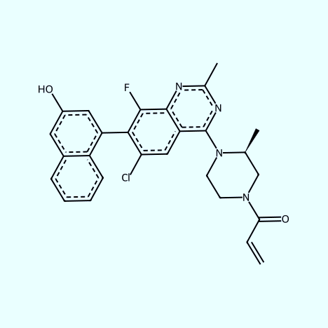 C=CC(=O)N1CCN(c2nc(C)nc3c(F)c(-c4cc(O)cc5ccccc45)c(Cl)cc23)[C@@H](C)C1